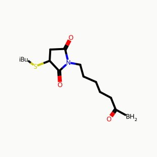 BC(=O)CCCCCN1C(=O)CC(SC(C)CC)C1=O